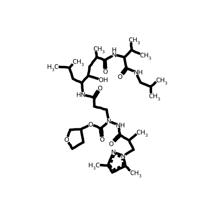 Cc1cc(C)n(CC(C)C(=O)NN(CCC(=O)NC(CC(C)C)C(O)CC(C)C(=O)NC(C(=O)NCC(C)C)C(C)C)C(=O)OC2CCOC2)n1